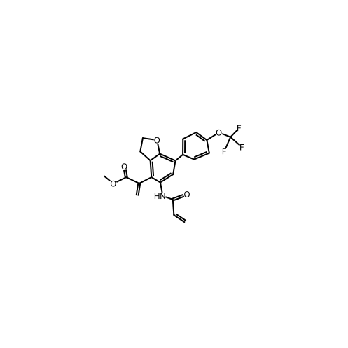 C=CC(=O)Nc1cc(-c2ccc(OC(F)(F)F)cc2)c2c(c1C(=C)C(=O)OC)CCO2